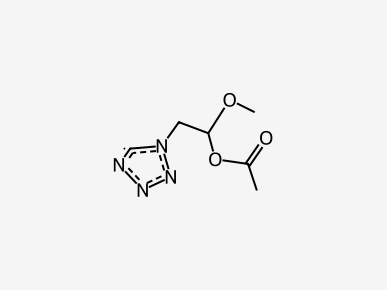 COC(Cn1[c]nnn1)OC(C)=O